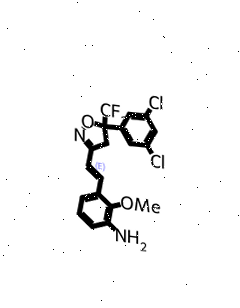 COc1c(N)cccc1/C=C/C1=NOC(c2cc(Cl)cc(Cl)c2)(C(F)(F)F)C1